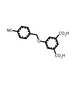 N#Cc1ccc(COc2cc(C(=O)O)cc(C(=O)O)c2)cc1